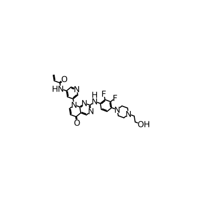 C=CC(=O)Nc1cncc(-n2ccc(=O)c3cnc(Nc4ccc(N5CCN(CCO)CC5)c(F)c4F)nc32)c1